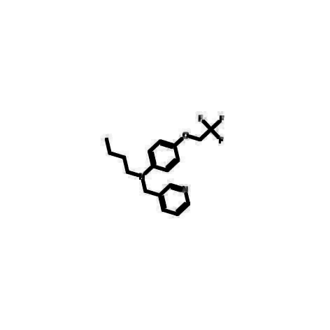 CCCCN(Cc1cccnc1)c1ccc(OCC(F)(F)F)cc1